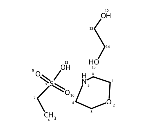 C1COCCN1.CCS(=O)(=O)O.OCCO